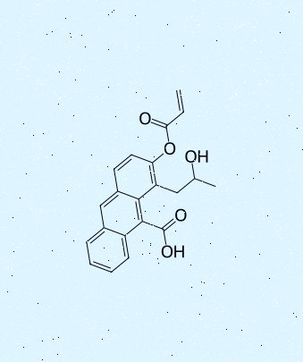 C=CC(=O)Oc1ccc2cc3ccccc3c(C(=O)O)c2c1CC(C)O